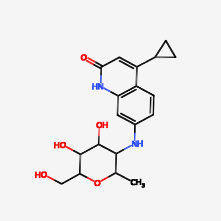 CC1OC(CO)C(O)C(O)C1Nc1ccc2c(C3CC3)cc(=O)[nH]c2c1